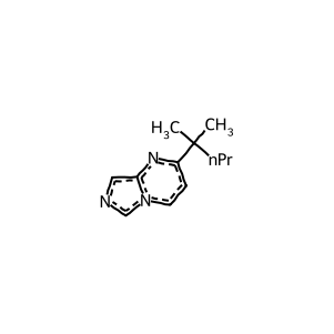 CCCC(C)(C)c1ccn2cncc2n1